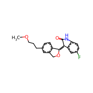 COCCCc1ccc2c(c1)CO/C2=C1/C(=O)Nc2ccc(F)cc21